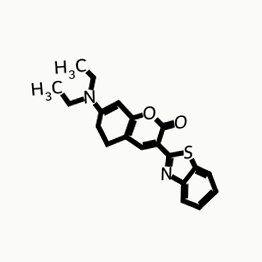 CCN(CC)C1=Cc2oc(=O)c(-c3nc4ccccc4s3)cc2CC1